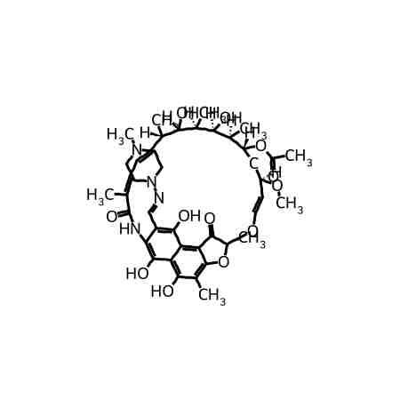 CO[C@H]1/C=C/O[C@@]2(C)Oc3c(C)c(O)c4c(O)c(c(/C=N/N5CCN(C)CC5)c(O)c4c3C2=O)NC(=O)/C(C)=C\C=C\[C@H](C)[C@H](O)[C@@H](C)[C@@H](O)[C@@H](C)[C@H](OC(C)=O)C1